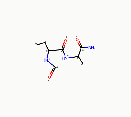 CCC(NC=O)C(=O)NC(C)C(N)=O